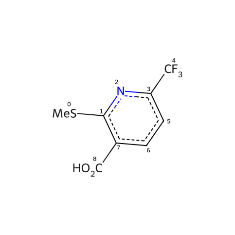 CSc1nc(C(F)(F)F)ccc1C(=O)O